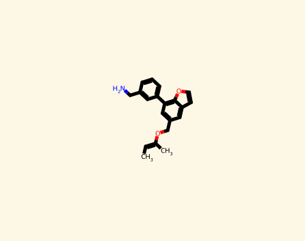 C/C=C(\C)OCc1cc(-c2cccc(CN)c2)c2occc2c1